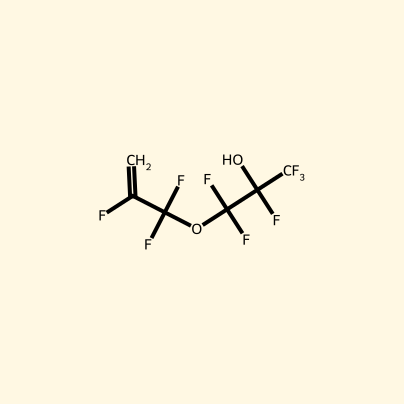 C=C(F)C(F)(F)OC(F)(F)C(O)(F)C(F)(F)F